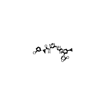 O=C(Nc1cc(NCc2cn3cc(C4CC4)cc(N4CCOCC4=O)c3n2)ncn1)[C@H]1C[C@@H]1c1cccc(Cl)c1